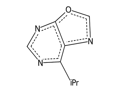 CC(C)c1ncnc2ocnc12